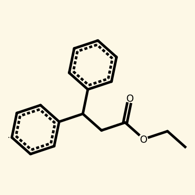 CCOC(=O)CC(c1cc[c]cc1)c1ccccc1